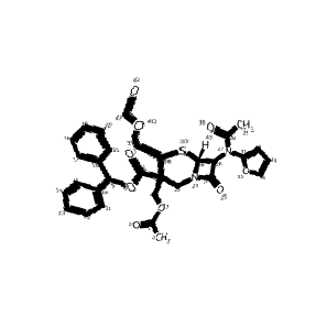 CC(=O)OCC1(C(=O)OC(c2ccccc2)c2ccccc2)CN2C(=O)C(N(C(C)=O)c3ccco3)[C@H]2SC1=COC=O